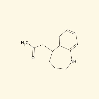 CC(=O)CC1CCCNc2ccccc21